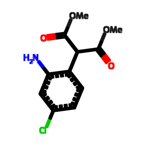 COC(=O)C(C(=O)OC)c1ccc(Cl)cc1N